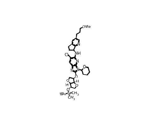 COCCCc1cnc2c(c1)CCC2Nc1nc2c(cc1Cl)nc(O[C@@H]1CO[C@H]3[C@@H]1OC[C@H]3O[Si](C)(C)C(C)(C)C)n2C1CCCCO1